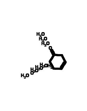 O.O.O.O.O.O.O.O.O=C1CC=CCC1